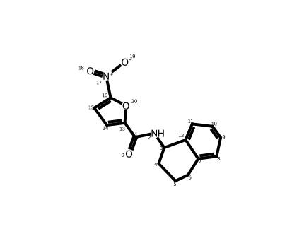 O=C(NC1CCCc2ccccc21)c1ccc([N+](=O)[O-])o1